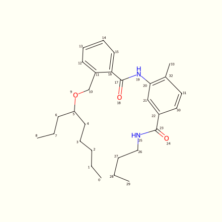 CCCCCC(CCC)OCc1ccccc1C(=O)Nc1cc(C(=O)NCCCC)ccc1C